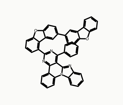 c1ccc(-c2nc(-c3cccc4oc5ccc(-c6ccc7oc8ccccc8c7c6)cc5c34)nc3c4ccccc4n4c5ccccc5nc4c23)cc1